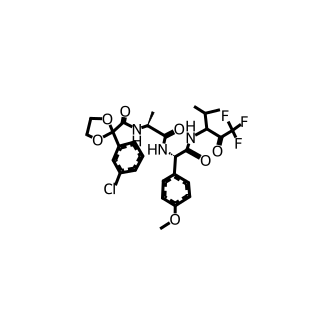 COc1ccc([C@H](NC(=O)[C@H](C)NC(=O)C2(c3cccc(Cl)c3)OCCO2)C(=O)NC(C(=O)C(F)(F)F)C(C)C)cc1